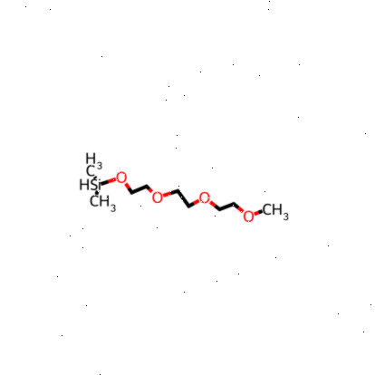 COCCOCCOCCO[SiH](C)C